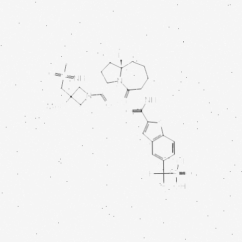 COC1(CS(C)(=N)=O)CN(C(=O)[C@@H]2CC[C@@H]3CCC[C@H](NC(=O)c4cc5cc(C(F)(F)P(=O)(O)O)ccc5s4)C(=O)N32)C1